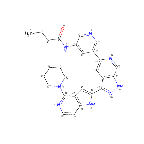 CCCC(=O)Nc1cncc(-c2cc3c(-c4cc5c(N6CCCCC6)nccc5[nH]4)n[nH]c3cn2)c1